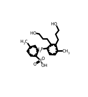 Cc1ccc(P)c(CCCO)c1CCCO.Cc1ccc(S(=O)(=O)O)cc1